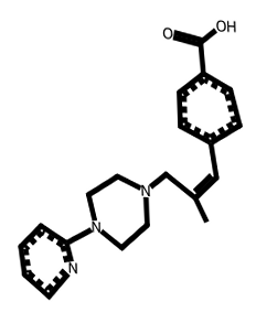 CC(=Cc1ccc(C(=O)O)cc1)CN1CCN(c2ccccn2)CC1